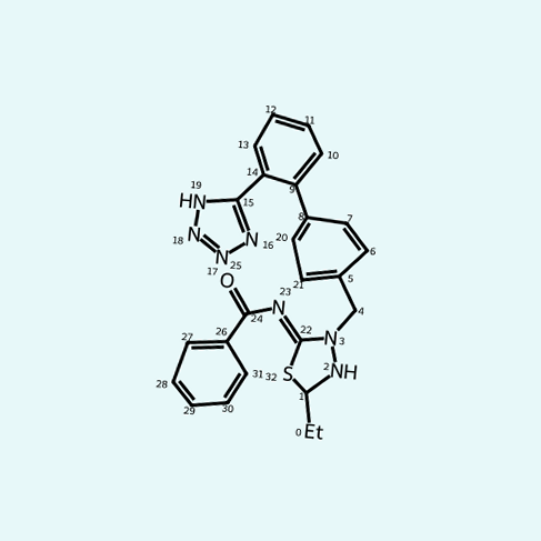 CCC1NN(Cc2ccc(-c3ccccc3-c3nnn[nH]3)cc2)C(=NC(=O)c2ccccc2)S1